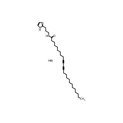 Br.CCCCCCCCCCCCC#CC#CCCCCCCCCC(=O)NCCCc1ncc[nH]1